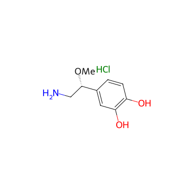 CO[C@@H](CN)c1ccc(O)c(O)c1.Cl